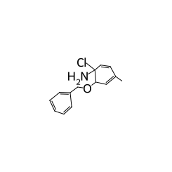 CC1=CC(OCc2ccccc2)C(N)(Cl)C=C1